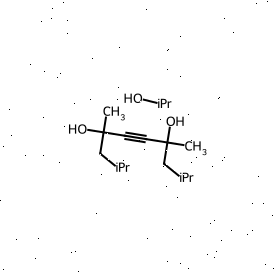 CC(C)CC(C)(O)C#CC(C)(O)CC(C)C.CC(C)O